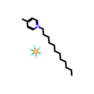 CCCCCCCCCCCC[n+]1ccc(C)cc1.F[P-](F)(F)(F)(F)F